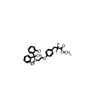 COC(=O)C(F)(F)Cc1ccc(OCCN(C)C(C)(c2ccccc2Cl)c2ccccc2Cl)cc1